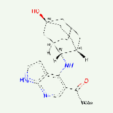 CNC(=O)c1cnc2[nH]ccc2c1N[C@@H]1[C@@H]2CC3C[C@H]1C[C@@](O)(C3)C2